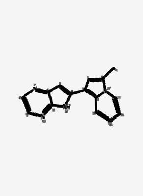 Cc1cc(-c2cc3nccnc3[nH]2)c2ccccn12